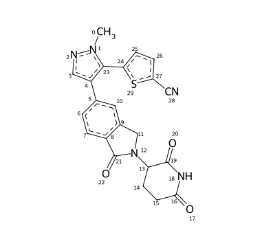 Cn1ncc(-c2ccc3c(c2)CN(C2CCC(=O)NC2=O)C3=O)c1-c1ccc(C#N)s1